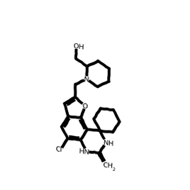 C=C1Nc2c(Cl)cc3cc(CN4CCCCC4CO)oc3c2C2(CCCCC2)N1